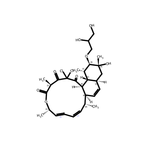 C[C@@H]1C(=O)O[C@@H](C)/C=C/C=C\[C@@H](C)[C@@H]2C=C[C@@H]3C[C@@](C)(O)[C@H](OCC(O)CO)[C@@H](C)[C@H]3[C@@H]2C(=O)C(Cl)(Cl)C1=O